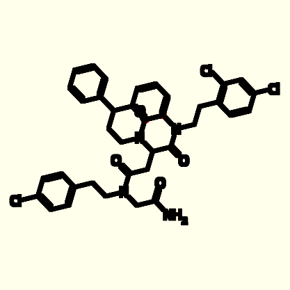 NC(=O)CN(CCc1ccc(Cl)cc1)C(=O)CC1C(=O)N(CCc2ccc(Cl)cc2Cl)CC(=O)N1CCC(c1ccccc1)c1ccccc1